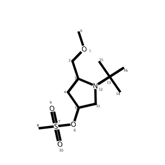 COCC1CC(OS(C)(=O)=O)CN1C(C)(C)C